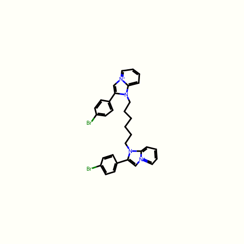 Brc1ccc(-c2c[n+]3ccccc3n2CCCCCCn2c(-c3ccc(Br)cc3)c[n+]3ccccc23)cc1